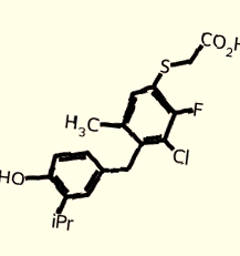 Cc1cc(SCC(=O)O)c(F)c(Cl)c1Cc1ccc(O)c(C(C)C)c1